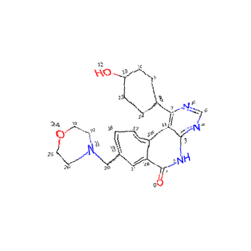 O=c1[nH]c2ncnc(C3CCC(O)CC3)c2c2ccc(CN3CCOCC3)cc12